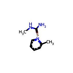 CNC(N)=S.Cc1ccccn1